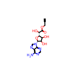 C#CCOC(=O)C(O)[C@H]1O[C@@H](n2cnc3c(N)ncnc32)C(O)C1O